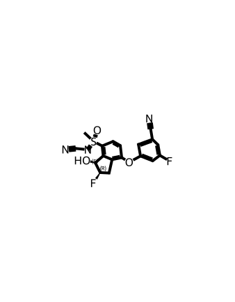 CS(=O)(=NC#N)c1ccc(Oc2cc(F)cc(C#N)c2)c2c1[C@H](O)[C@H](F)C2